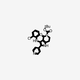 CC(C)(C)OC(=O)N1CCc2[nH]c(-c3ccncc3)c(Nc3ccccc3Cl)c2C1=O